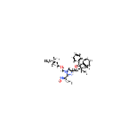 C/C(=N\O)c1nc(CO[Si](c2ccccc2)(c2ccccc2)C(C)(C)C)cn1COCC[Si](C)(C)C